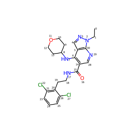 CCn1ncc2c(NC3CCOCC3)c(C(=O)NCCc3c(Cl)cccc3Cl)cnc21